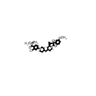 COc1cccc([C@@](O)(C(=O)N2CCC(CC3CCN(c4ccc(C(=O)N(C)C)c(Cl)c4)CC3)CC2)C2CC2)c1